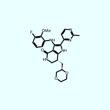 COc1c(F)cccc1Nc1c(-c2ccnc(C)n2)[nH]c2c1C(=O)NC[C@H]2C[C@@H]1COCCO1